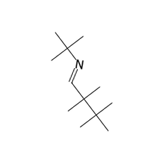 CC(C)(C)/N=C/C(C)(C)C(C)(C)C